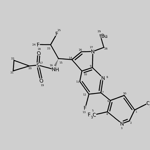 Cc1cnc(C(F)(F)F)c(-c2nc3c(cc2F)c([C@H](NS(=O)(=O)C2CC2)C(F)F)cn3CC(C)(C)C)c1